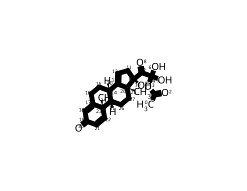 CC(=O)OC(O)(O)C(=O)[C@@]1(O)CC=C2[C@@H]3CCC4=CC(=O)C=C[C@]4(C)[C@H]3CC[C@@]21C